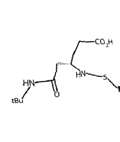 CC(C)(C)NC(=O)C[C@H](CC(=O)O)NSI